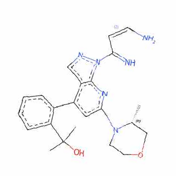 C[C@@H]1COCCN1c1cc(-c2ccccc2C(C)(C)O)c2cnn(C(=N)/C=C\N)c2n1